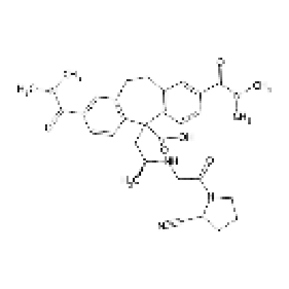 C[C@@H](CC1(C(=O)O)c2ccc(C(=O)N(C)C)cc2CCc2cc(C(=O)N(C)C)ccc21)NCC(=O)N1CCCC1C#N